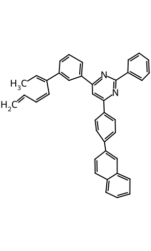 C=C/C=C\C(=C/C)c1cccc(-c2cc(-c3ccc(-c4ccc5ccccc5c4)cc3)nc(-c3ccccc3)n2)c1